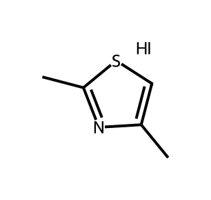 Cc1csc(C)n1.I